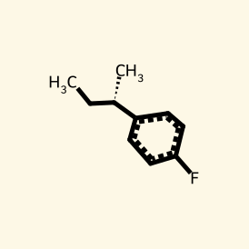 CC[C@H](C)c1ccc(F)cc1